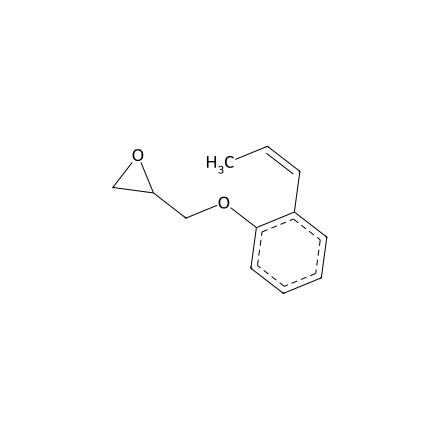 C/C=C\c1ccccc1OCC1CO1